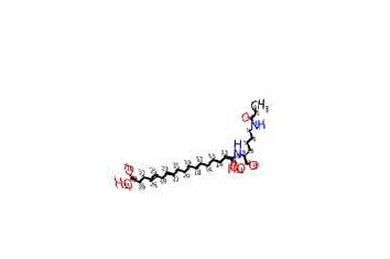 CCC(=O)NCCCC[C@H](NC(=O)CCCCCCCCCCCCCCCCC(=O)O)C(=O)O